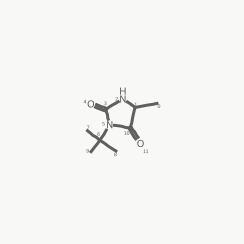 CC1NC(=O)N(C(C)(C)C)C1=O